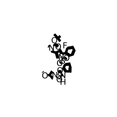 COC1CN(S(=O)(=O)Nc2cccc(S(=O)(=O)n3cc(CN(C)C(=O)OC(C)(C)C)cc3-c3ccccc3F)c2)C1